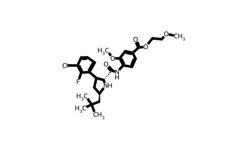 COCCOC(=O)c1ccc(NC(=O)[C@@H]2N[C@@H](CC(C)(C)C)CC2c2cccc(Cl)c2F)c(OC)c1